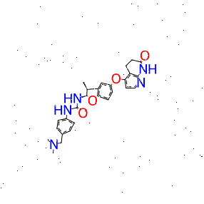 C[C@H]1c2cc(Oc3ccnc4c3CCC(=O)N4)ccc2O[C@H]1NC(=O)Nc1ccc(CN(C)C)cc1